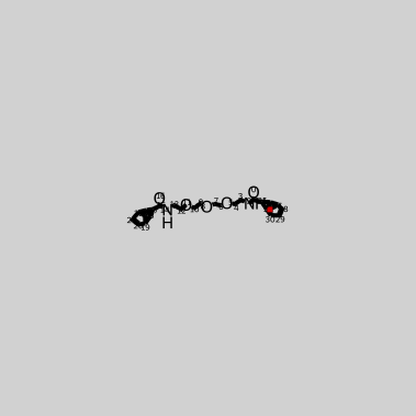 O=C(NCCOCCOCCOCCNC(=O)C1C2C3C=CC(C3)C12)C1C2C3C=CC(C3)C12